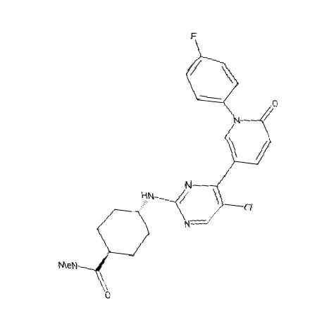 CNC(=O)[C@H]1CC[C@H](Nc2ncc(Cl)c(-c3ccc(=O)n(-c4ccc(F)cc4)c3)n2)CC1